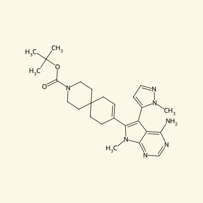 Cn1nccc1-c1c(C2=CCC3(CC2)CCN(C(=O)OC(C)(C)C)CC3)n(C)c2ncnc(N)c12